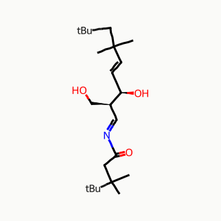 CC(C)(C)CC(C)(C)/C=C/[C@@H](O)[C@@H](/C=N/C(=O)CC(C)(C)C(C)(C)C)CO